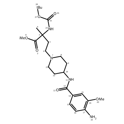 COC(=O)C(C)(CCN1CCC(NC(=O)c2ccc(N)c(OC)c2)CC1)NC(=O)OC(C)(C)C